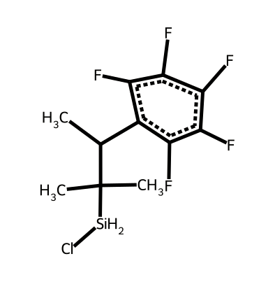 CC(c1c(F)c(F)c(F)c(F)c1F)C(C)(C)[SiH2]Cl